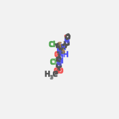 CCOC(=O)C1CCN(c2ncc(C(=O)Nc3nc(-c4cc(Cl)cs4)c(N4CC5CCN(C6CCCCC6)CC5C4)s3)cc2Cl)CC1